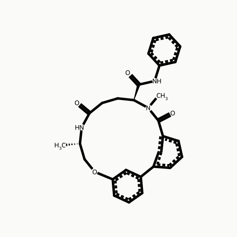 C[C@H]1COc2cccc(c2)-c2cccc(c2)C(=O)N(C)[C@H](C(=O)Nc2ccccc2)CCC(=O)N1